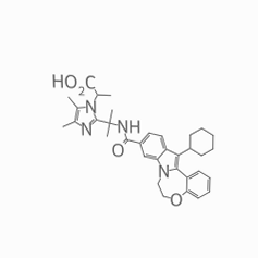 Cc1nc(C(C)(C)NC(=O)c2ccc3c(C4CCCCC4)c4n(c3c2)CCOc2ccccc2-4)n(C(C)C(=O)O)c1C